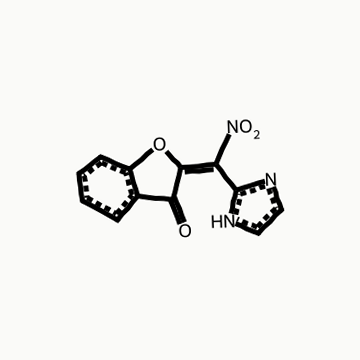 O=C1/C(=C(\c2ncc[nH]2)[N+](=O)[O-])Oc2ccccc21